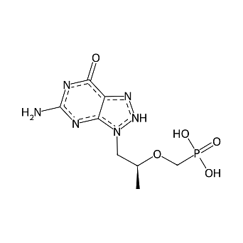 C[C@@H](Cn1[nH]nc2c(=O)nc(N)nc1-2)OCP(=O)(O)O